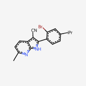 Cc1ccc2c(C#N)c(-c3ccc(C(C)C)cc3Br)[nH]c2n1